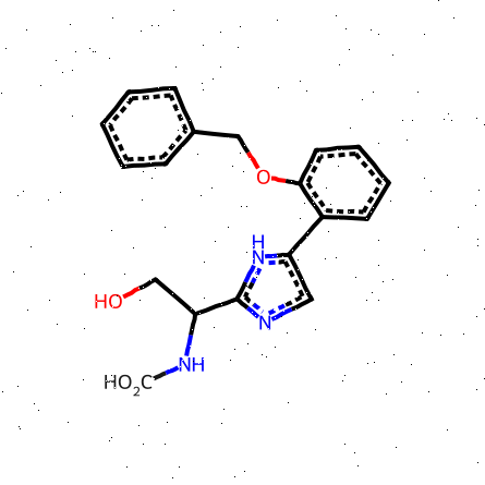 O=C(O)NC(CO)c1ncc(-c2ccccc2OCc2ccccc2)[nH]1